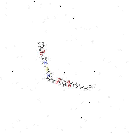 CCCCCCCC/C=C\CCCCCCCC(=O)Oc1ccc(CC(=O)OCCC2CCN(CCSSCCN3CCC(CCOC(=O)Cc4cc[c]cc4)CC3)CC2)cc1